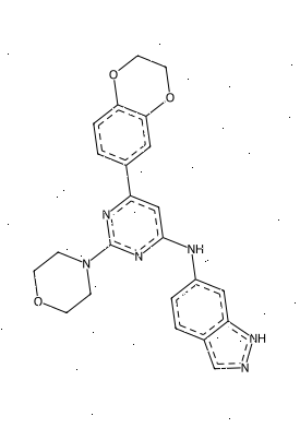 c1cc2cn[nH]c2cc1Nc1cc(-c2ccc3c(c2)OCCO3)nc(N2CCOCC2)n1